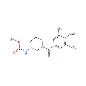 CNc1c([N+](=O)[O-])cc(C(=O)N2CCCC(NC(=O)OC(C)(C)C)C2)cc1C(F)(F)F